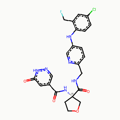 O=C(N[C@@]1(C(=O)NCc2ccc(Nc3ccc(Cl)cc3CF)cn2)CCOC1)c1cn[nH]c(=O)c1